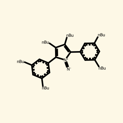 CCCCC1=C(c2cc(CCCC)cc(CCCC)c2)[N+](=[N-])C(c2cc(CCCC)cc(CCCC)c2)=C1CCCC